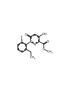 CCc1cccc(F)c1-n1nc(C(=O)OC)c(O)cc1=O